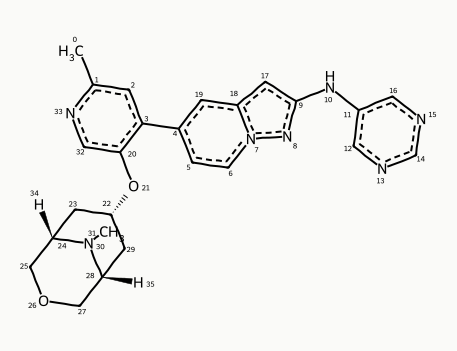 Cc1cc(-c2ccn3nc(Nc4cncnc4)cc3c2)c(O[C@H]2C[C@H]3COC[C@@H](C2)N3C)cn1